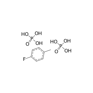 Cc1ccc(F)cc1.O=P(O)(O)O.O=P(O)(O)O